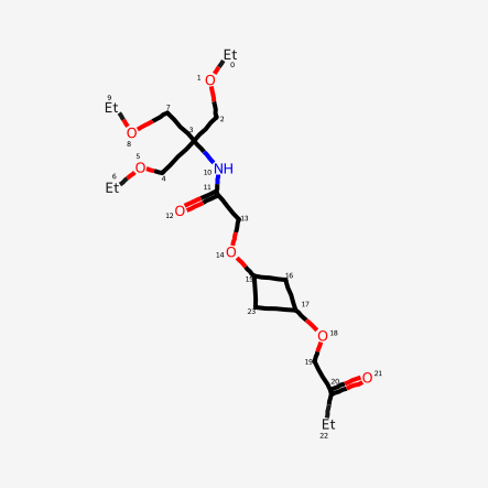 CCOCC(COCC)(COCC)NC(=O)COC1CC(OCC(=O)CC)C1